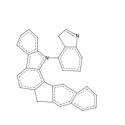 C1=Nc2cccc(-n3c4ccccc4c4ccc5c(c43)-c3cc4ccccc4cc3C5)c2C1